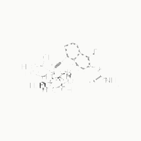 CC(C)[Si](C#Cc1cccc2c(F)c(OC(N)=O)cc(B3OC(C)(C)C(C)(C)O3)c12)(C(C)C)C(C)C